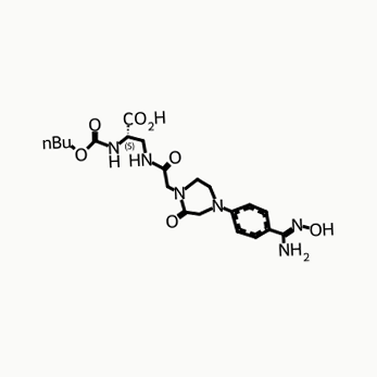 CCCCOC(=O)N[C@@H](CNC(=O)CN1CCN(c2ccc(C(N)=NO)cc2)CC1=O)C(=O)O